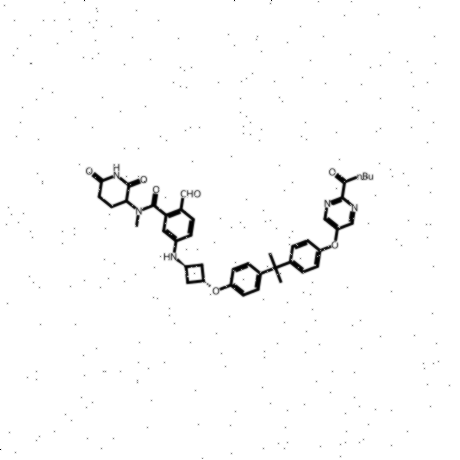 CCCCC(=O)c1ncc(Oc2ccc(C(C)(C)c3ccc(O[C@H]4C[C@H](Nc5ccc(C=O)c(C(=O)N(C)C6CCC(=O)NC6=O)c5)C4)cc3)cc2)cn1